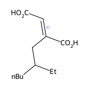 CCCCC(CC)C/C(=C\C(=O)O)C(=O)O